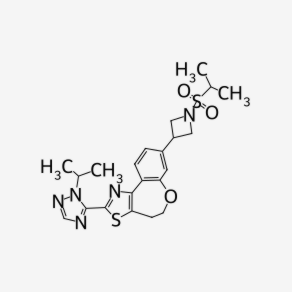 CC(C)n1ncnc1-c1nc2c(s1)CCOc1cc(C3CN(S(=O)(=O)C(C)C)C3)ccc1-2